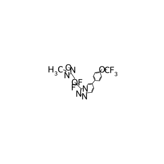 Cc1nc(COC(F)(F)c2nnc3ccc(-c4ccc(OC(F)(F)F)cc4)cn23)no1